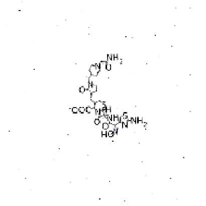 NC(=O)C[n+]1ccc(CN2CCC(=CC3=C(C(=O)[O-])N4C(=O)[C@@H](NC(=O)/C(=N\O)c5csc(N)n5)[C@H]4SC3)C2=O)cc1